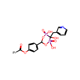 CC(C)C(=O)Oc1ccc(C2OP(=O)(O)C(O)(Cc3cccnc3)P(=O)(O)O2)cc1